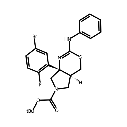 CC(C)(C)OC(=O)N1C[C@@H]2CSC(Nc3ccccc3)=N[C@@]2(c2cc(Br)ccc2F)C1